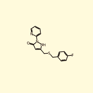 O=c1cc(CSCc2ccc(F)cc2)[nH]n1-c1ccccn1